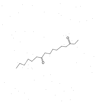 CCCCCCC(=O)CCCCCCC(=O)CC